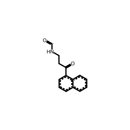 O=[C]NCCC(=O)c1cccc2ccccc12